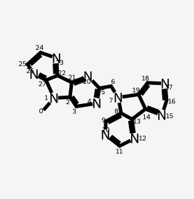 Cn1c2cnc(Cn3c4cncnc4c4ncncc43)nc2c2nccnc21